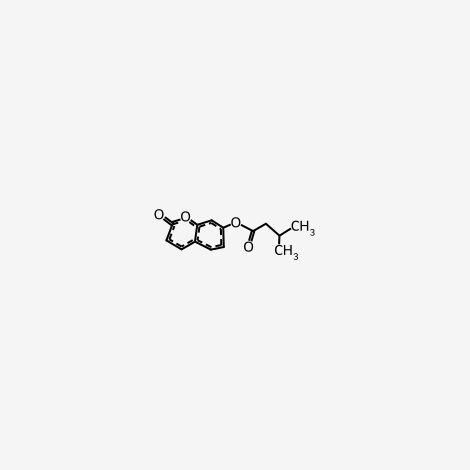 CC(C)CC(=O)Oc1ccc2ccc(=O)oc2c1